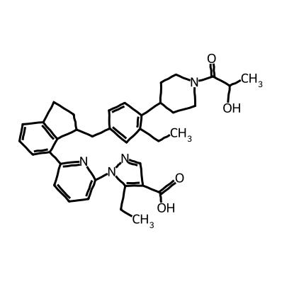 CCc1cc(CC2CCc3cccc(-c4cccc(-n5ncc(C(=O)O)c5CC)n4)c32)ccc1C1CCN(C(=O)C(C)O)CC1